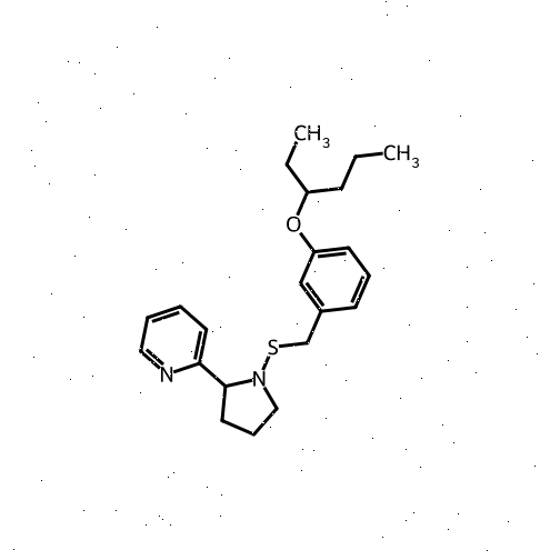 CCCC(CC)Oc1cccc(CSN2CCCC2c2ccccn2)c1